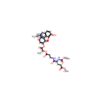 C[C@H](OC(=O)CCNC(=O)[C@H](CCC(=O)OC(C)(C)C)NC(=O)OC(C)(C)C)C(=O)OC1=CC[C@@]2(O)[C@H]3Cc4ccc(O)c5c4[C@@]2(CCN3C)[C@H]1O5